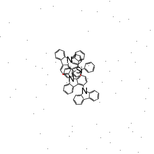 c1ccc(-c2ccccc2-n2c3ccccc3c3ccc(-n4c5ccccc5c5c(-n6c7ccccc7c7ccccc76)ccc([Si](c6ccccc6)(c6ccccc6)c6ccccc6)c54)cc32)cc1